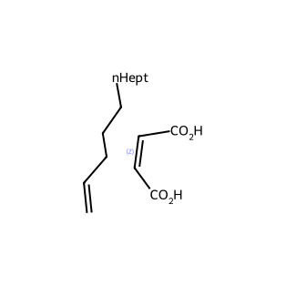 C=CCCCCCCCCCC.O=C(O)/C=C\C(=O)O